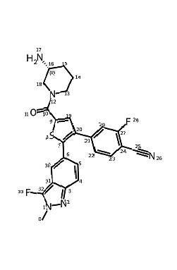 Cn1nc2ccc(-c3sc(C(=O)N4CCC[C@@H](N)C4)cc3-c3ccc(C#N)c(F)c3)cc2c1F